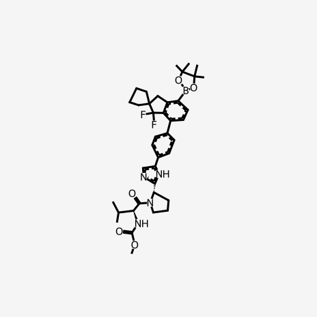 COC(=O)N[C@H](C(=O)N1CCC[C@H]1c1ncc(-c2ccc(-c3ccc(B4OC(C)(C)C(C)(C)O4)c4c3C(F)(F)C3(CCCC3)C4)cc2)[nH]1)C(C)C